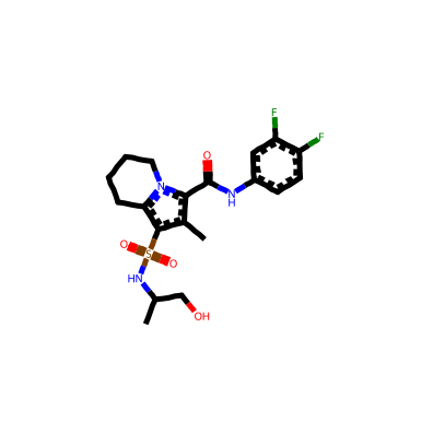 Cc1c(S(=O)(=O)NC(C)CO)c2n(c1C(=O)Nc1ccc(F)c(F)c1)CCCC2